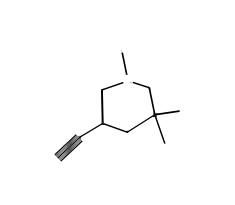 C#CC1C[S+]([O-])CC(C)(C)C1